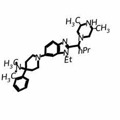 CCCC(c1nc2ccc(N3CCC(c4ccccc4)(N(C)C)CC3)cc2n1CC)N1C[C@@H](C)N[C@@H](C)C1